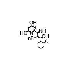 CCC/C(C(=N)c1nc(O)cc(O)n1)=C(/O)[C@H]1CCCCC1=O